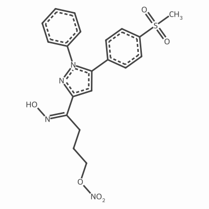 CS(=O)(=O)c1ccc(-c2cc(/C(CCCO[N+](=O)[O-])=N\O)nn2-c2ccccc2)cc1